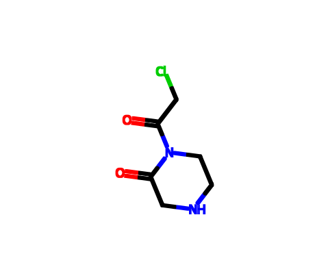 O=C(CCl)N1CCNCC1=O